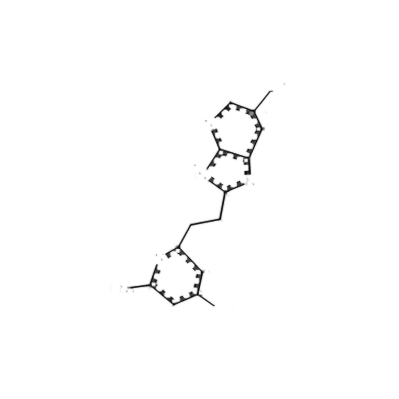 Cc1cc(N)nc(CCc2nc3cc(I)cnc3[nH]2)c1